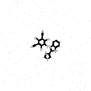 N#Cc1c(Cl)c(Cl)c(Cl)c(C#N)c1Cl.c1ccc2[nH]c(-c3cscn3)nc2c1